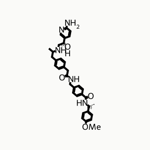 COc1ccc([C@@H](C)NC(=O)c2ccc(CNC(=O)Cc3ccc(CC(C)NC[C@@H](O)c4ccc(N)nc4)cc3)cc2)cc1